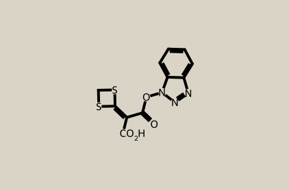 O=C(O)C(C(=O)On1nnc2ccccc21)=C1SCS1